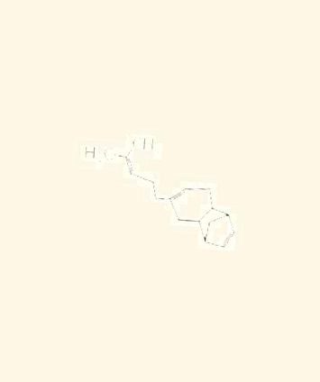 CC(C)=CCCC1=CCC2C3C=CC(C3)C2C1